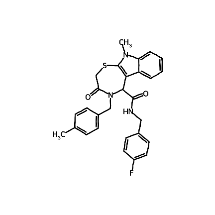 Cc1ccc(CN2C(=O)CSc3c(c4ccccc4n3C)C2C(=O)NCc2ccc(F)cc2)cc1